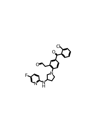 O=CCc1cc(C(=O)c2ccccc2Cl)ccc1N1CCC(Nc2ccc(F)cn2)C1